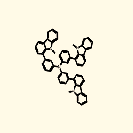 Cn1c2ccccc2c2cccc(-c3cccc(N(c4cccc(-c5cccc6c7ccccc7n(C)c56)c4)c4cccc(-c5cccc6c7ccccc7n(C)c56)c4)c3)c21